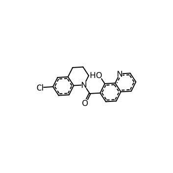 O=C(c1ccc2cccnc2c1O)N1CCCc2cc(Cl)ccc21